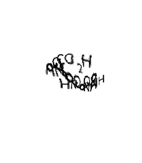 O=C(O)CCC(NC(=O)c1ccccc1)c1ccc(NC(=O)Cc2ccc(NC(=O)C3CNc4ccccc43)cc2)cc1